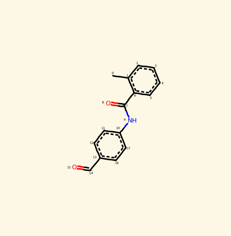 Cc1ccccc1C(=O)Nc1ccc([C]=O)cc1